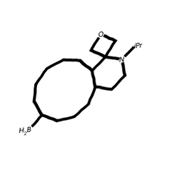 BC1CCCCCC2C(CCC1)CCN(C(C)C)C21COC1